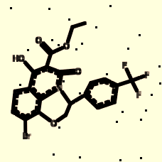 CCOC(=O)c1c(O)c2ccc(Br)c3c2n(c1=O)C(c1ccc(C(F)(F)F)cc1)CO3